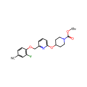 CC(C)(C)OC(=O)N1CCC(Oc2cccc(COc3ccc(C#N)cc3F)n2)CC1